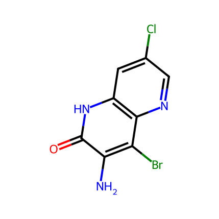 Nc1c(Br)c2ncc(Cl)cc2[nH]c1=O